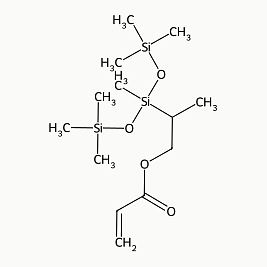 C=CC(=O)OCC(C)[Si](C)(O[Si](C)(C)C)O[Si](C)(C)C